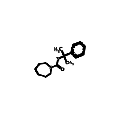 CC(C)(SC(=O)N1CCCCCC1)c1ccccc1